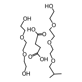 CC(C)COCCOCCOCCO.O=C(O)CCC(=O)O.OCCOCCOCCO